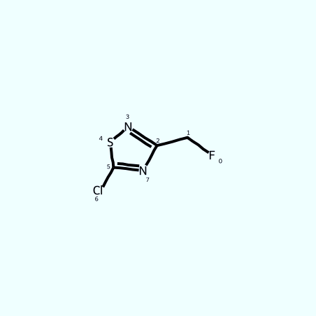 FCc1nsc(Cl)n1